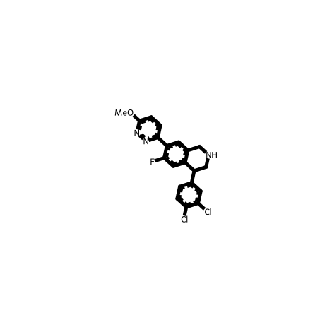 COc1ccc(-c2cc3c(cc2F)C(c2ccc(Cl)c(Cl)c2)CNC3)nn1